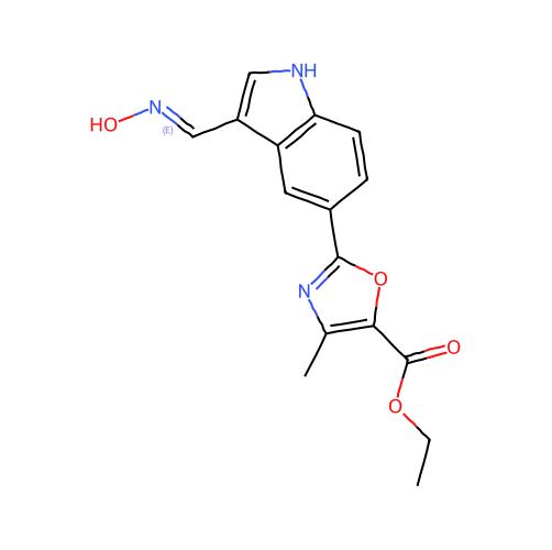 CCOC(=O)c1oc(-c2ccc3[nH]cc(/C=N/O)c3c2)nc1C